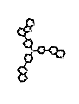 c1cnc2nc(-c3ccc(N(c4ccc(-c5ccc6ccncc6n5)cc4)c4ccc(-c5cccc6c5oc5ncccc56)cc4)cc3)ccc2c1